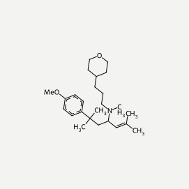 COc1ccc(C(C)(C)CC(C=C(C)C)N(C)CCCC2CCOCC2)cc1